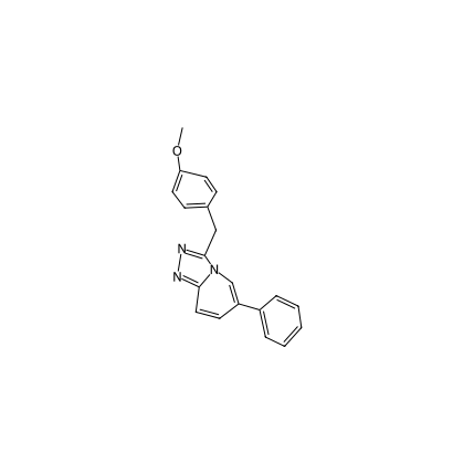 COc1ccc(Cc2nnc3ccc(-c4ccccc4)cn23)cc1